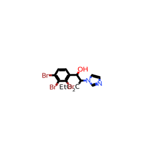 CCOC(=O)C(C(O)c1ccc(Br)c(Br)c1Br)n1ccnc1